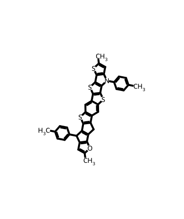 Cc1ccc(C2C3=C(Cc4c3sc3cc5c(cc43)sc3c5sc4c5sc(C)cc5n(-c5ccc(C)cc5)c34)c3oc(C)cc32)cc1